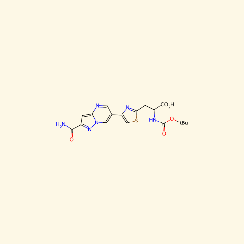 CC(C)(C)OC(=O)NC(Cc1nc(-c2cnc3cc(C(N)=O)nn3c2)cs1)C(=O)O